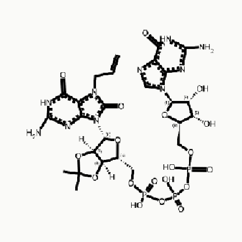 C=CCn1c(=O)n([C@@H]2O[C@H](COP(=O)(O)OP(=O)(O)OP(=O)(O)OC[C@H]3O[C@@H](n4cnc5c(=O)[nH]c(N)nc54)[C@H](O)[C@@H]3O)[C@H]3OC(C)(C)O[C@H]32)c2nc(N)[nH]c(=O)c21